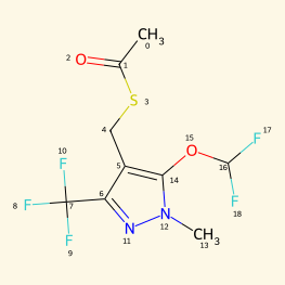 CC(=O)SCc1c(C(F)(F)F)nn(C)c1OC(F)F